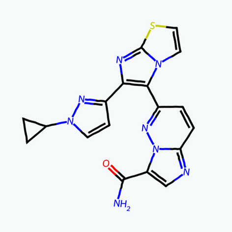 NC(=O)c1cnc2ccc(-c3c(-c4ccn(C5CC5)n4)nc4sccn34)nn12